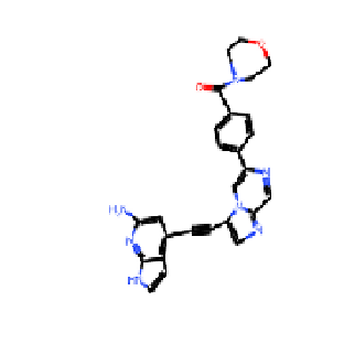 Nc1cc(C#Cc2cnc3cnc(-c4ccc(C(=O)N5CCOCC5)cc4)cn23)c2cc[nH]c2n1